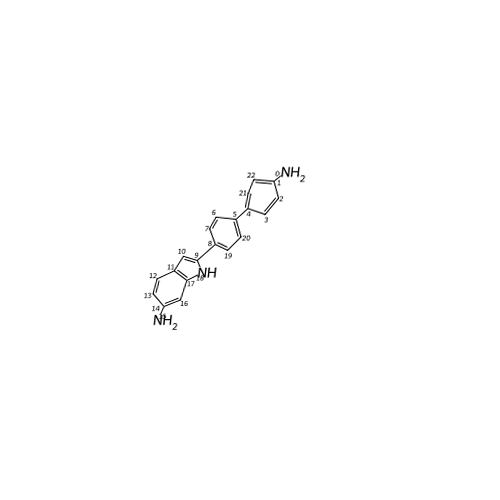 Nc1ccc(-c2ccc(-c3cc4ccc(N)cc4[nH]3)cc2)cc1